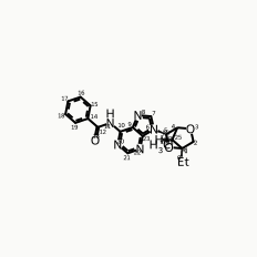 CC[C@@]12COC([C@H](n3cnc4c(NC(=O)c5ccccc5)ncnc43)O1)[C@H]2C